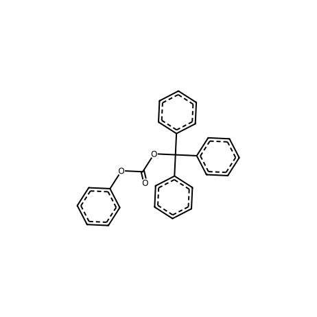 O=C(Oc1ccccc1)OC(c1ccccc1)(c1ccccc1)c1ccccc1